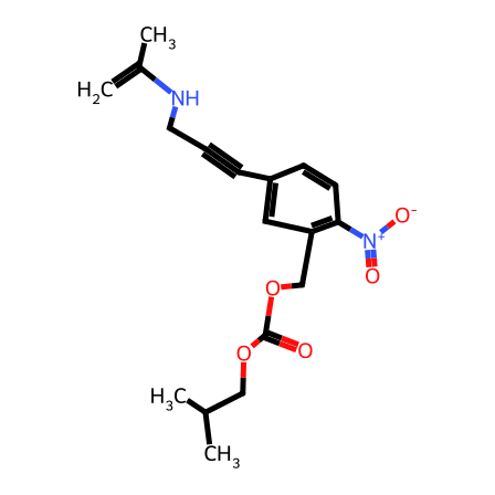 C=C(C)NCC#Cc1ccc([N+](=O)[O-])c(COC(=O)OCC(C)C)c1